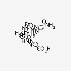 CCn1nccc1C(=O)Nc1nc2cc(C(=O)O)ccc2n1CCCCn1c(NC(=O)c2cc(C)nn2CC)nc2cc(C(N)=O)ccc21